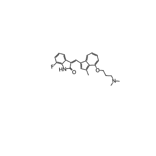 Cc1cc(/C=C2\C(=O)Nc3c(F)cccc32)c2ccccc(OCCCN(C)C)c1-2